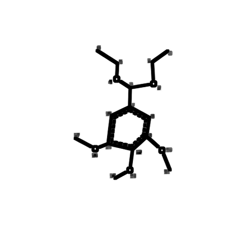 CCOC(OCC)c1cc(OC)c(OC)c(OC)c1